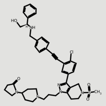 CS(=O)(=O)N1CCc2c(c(-c3ccc(Cl)c(C#Cc4ccc(CN[C@@H](CO)c5ccccc5)cc4)c3)nn2CCCN2CCC(N3CCCC3=O)CC2)C1